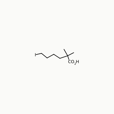 CC(C)(CCCCI)C(=O)O